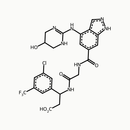 O=C(O)CC(NC(=O)CNC(=O)c1cc(NC2=NCC(O)CN2)c2cn[nH]c2c1)c1cc(Cl)cc(C(F)(F)F)c1